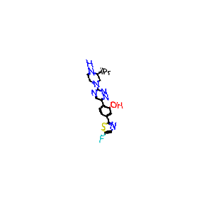 CC(C)[C@H]1CN(c2ncc(-c3ccc(-c4ncc(F)s4)cc3O)nn2)CCN1